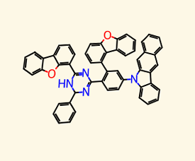 c1ccc(C2N=C(c3ccc(-n4c5ccccc5c5cc6ccccc6cc54)cc3-c3cccc4oc5ccccc5c34)N=C(c3cccc4c3oc3ccccc34)N2)cc1